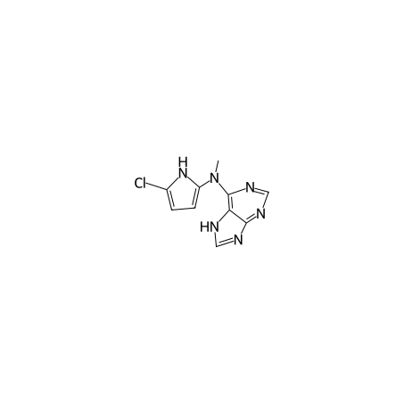 CN(c1ccc(Cl)[nH]1)c1ncnc2nc[nH]c12